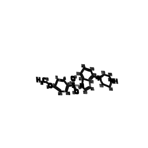 COc1ccc(S(=O)(=O)n2ccc3c(N4CCNCC4)cccc32)cc1